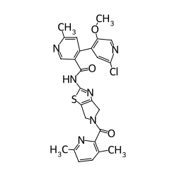 COc1cnc(Cl)cc1-c1cc(C)ncc1C(=O)Nc1nc2c(s1)CN(C(=O)c1nc(C)ccc1C)C2